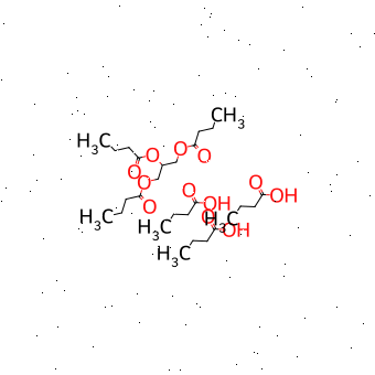 CCCC(=O)O.CCCC(=O)O.CCCC(=O)O.CCCC(=O)OCC(COC(=O)CCC)OC(=O)CCC